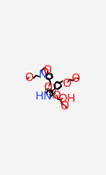 COCCCN1CCOc2ccc(CO[C@H]3CNC[C@@H](OCC(O)COC)[C@@H]3c3ccc(COCCOC)cc3)cc21